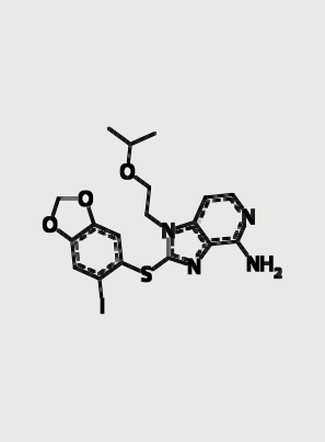 CC(C)OCCn1c(Sc2cc3c(cc2I)OCO3)nc2c(N)nccc21